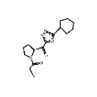 O=C(c1nnc(C2CCCCC2)o1)[C@@H]1CCCN1C(=O)CBr